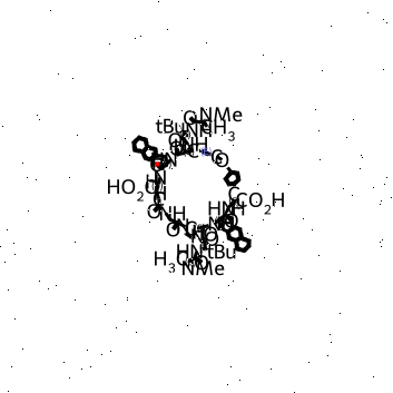 CN[C@@H](C)C(=O)N[C@H](C(=O)N[C@H]1C/C=C/COc2ccc(cc2)C[C@@H](C(=O)O)NC(=O)[C@H](Cc2ccc3ccccc3c2)NC(=O)[C@@H]2CN(CCN2C(=O)[C@@H](NC(=O)[C@H](C)NC)C(C)(C)C)C(=O)CNC(=O)CC[C@@H](C(=O)O)NC(=O)[C@H](Cc2ccc3ccccc3c2)NC1=O)C(C)(C)C